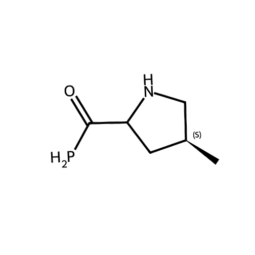 C[C@@H]1CNC(C(=O)P)C1